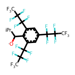 CC(C)C([O])c1c(C(F)(F)C(F)(F)C(F)(F)F)cc(C(F)(F)C(F)(F)C(F)(F)F)cc1C(F)(F)C(F)(F)C(F)(F)F